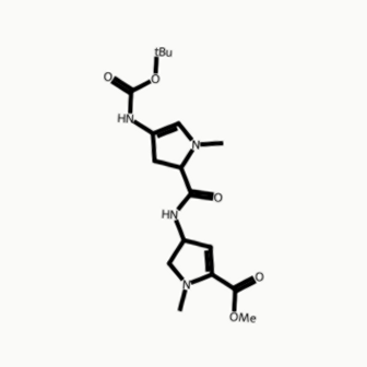 COC(=O)C1=CC(NC(=O)C2CC(NC(=O)OC(C)(C)C)=CN2C)CN1C